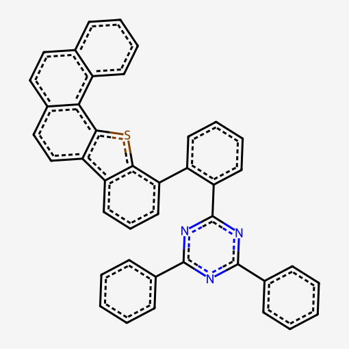 c1ccc(-c2nc(-c3ccccc3)nc(-c3ccccc3-c3cccc4c3sc3c4ccc4ccc5ccccc5c43)n2)cc1